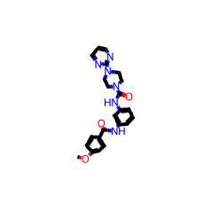 COc1ccc(C(=O)Nc2cccc(NC(=O)N3CCN(c4ncccn4)CC3)c2)cc1